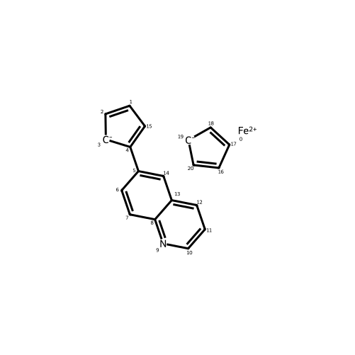 [Fe+2].c1c[cH-]c(-c2ccc3ncccc3c2)c1.c1cc[cH-]c1